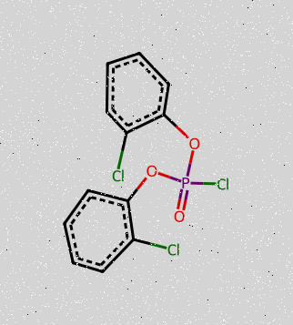 O=P(Cl)(Oc1ccccc1Cl)Oc1ccccc1Cl